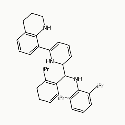 CC(C)C1=C(C(Nc2c(C(C)C)cccc2C(C)C)C2C=CC=C(c3cccc4c3NCCC4)N2)C=CCC1